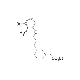 CCOC(=O)CN1CCC[C@H](CCCOc2cccc(Br)c2C)C1